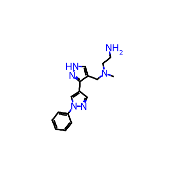 CN(CCN)Cc1c[nH]nc1-c1cnn(-c2ccccc2)c1